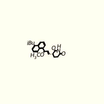 CCC(C)c1ccc(C)c2c(C(=O)/C=C/[C@H]3CCC(=O)NC3=O)cccc12